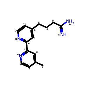 Cc1ccnc(-c2cc(CCCC(=N)N)ccn2)c1